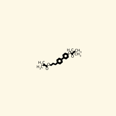 C=C(C)C(=O)OCCCc1ccc(-c2ccc(OC(=O)C(C)(C)C)cc2)cc1